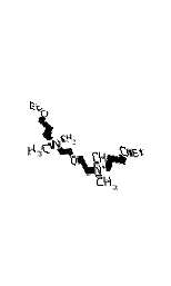 CCOCCC[N+](C)(C)CCOCC[N+](C)(C)CCCOCC